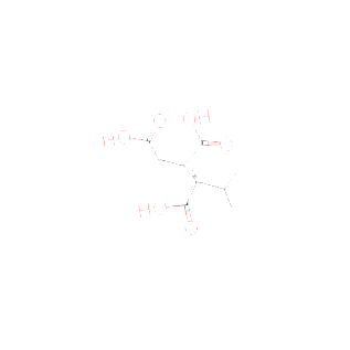 CC(C)C(C(=O)O)=C(CC(=O)O)C(=O)O